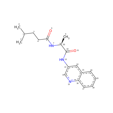 CC(C)CCC(=O)N[C@@H](C)C(=O)Nc1cnc2ccccc2c1